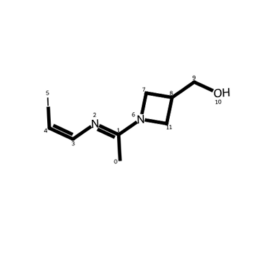 C/C(=N\C=C/I)N1CC(CO)C1